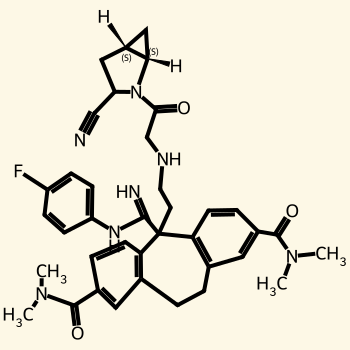 CN(C)C(=O)c1ccc2c(c1)CCc1cc(C(=O)N(C)C)ccc1C2(CCNCC(=O)N1C(C#N)C[C@@H]2C[C@@H]21)C(=N)Nc1ccc(F)cc1